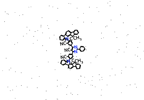 CC1(C)c2ccccc2-c2ccc3c4ccccc4n(-c4ccc(-c5nc(-c6ccccc6)nc(-c6ccc(-n7c8ccccc8c8ccc9c(c87)C(C)(C)c7ccccc7-9)c(C#N)c6)c5C#N)cc4C#N)c3c21